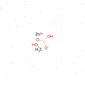 CO.[O-]B([O-])O.[Zn+2]